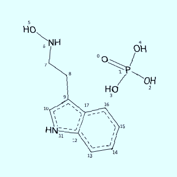 O=P(O)(O)O.ONCCc1c[nH]c2ccccc12